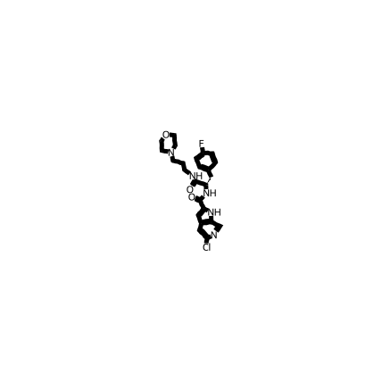 O=C(N[C@@H](Cc1ccc(F)cc1)C(=O)NCCCN1CCOCC1)c1cc2cc(Cl)ncc2[nH]1